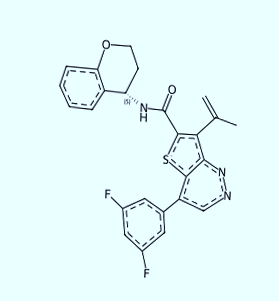 C=C(C)c1c(C(=O)N[C@H]2CCOc3ccccc32)sc2c(-c3cc(F)cc(F)c3)cnnc12